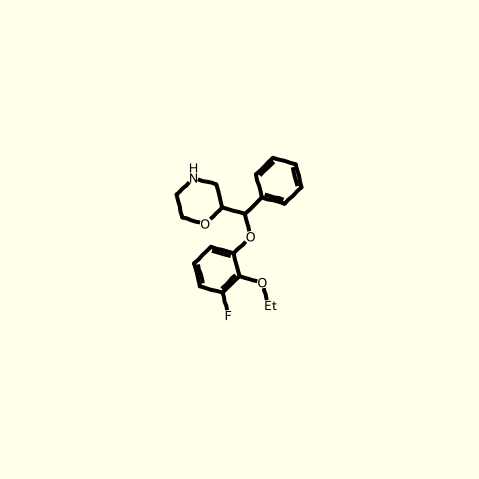 CCOc1c(F)cccc1OC(c1ccccc1)C1CNCCO1